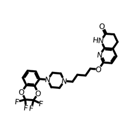 O=C1CCc2ccc(OCCCCN3CCN(c4cccc5c4OC(F)(F)C(F)(F)O5)CC3)nc2N1